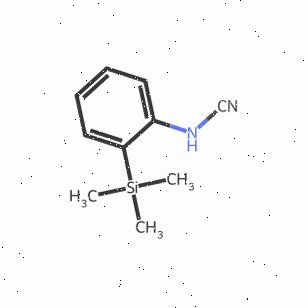 C[Si](C)(C)c1ccccc1NC#N